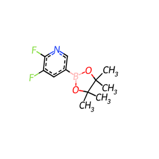 CC1(C)OB(c2cnc(F)c(F)c2)OC1(C)C